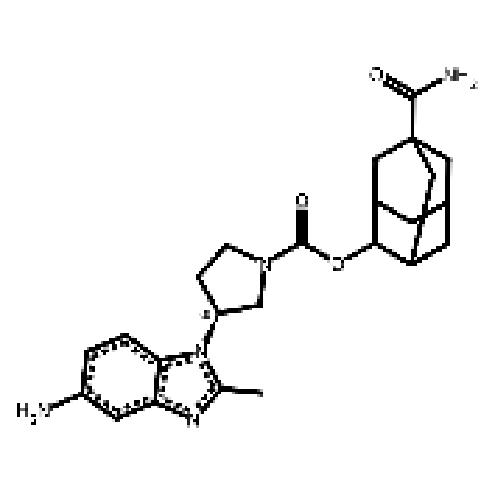 Cc1nc2cc(N)ccc2n1[C@H]1CCN(C(=O)OC2C3CC4CC2CC(C(N)=O)(C4)C3)C1